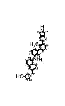 Cc1c(Nc2nccc3cc(CN4CC[C@@H](O)C4)cnc23)cccc1-c1cccc(-c2nc3c(s2)CNC3)c1C